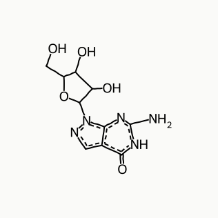 Nc1nc2c(cnn2C2OC(CO)C(O)C2O)c(=O)[nH]1